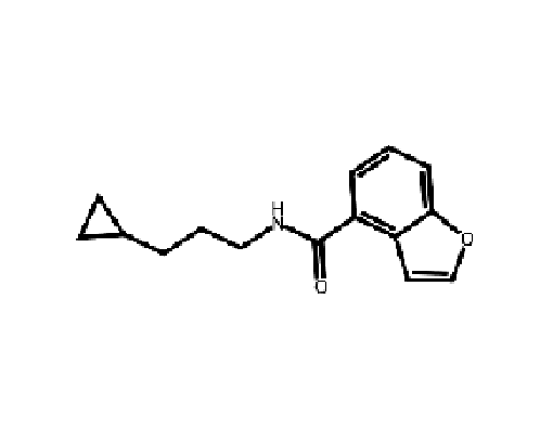 O=C(NCCCC1CC1)c1cccc2occc12